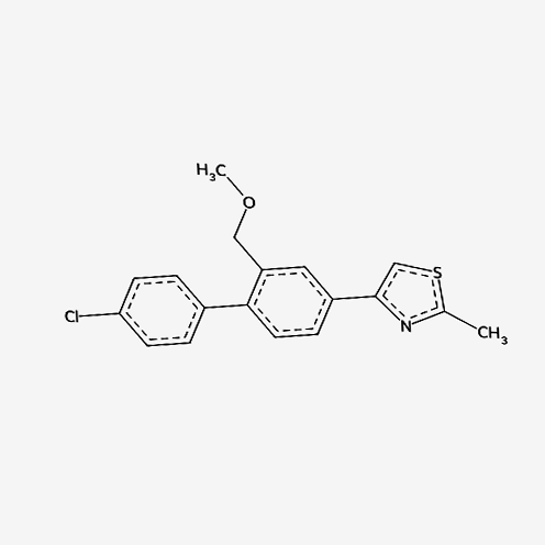 COCc1cc(-c2csc(C)n2)ccc1-c1ccc(Cl)cc1